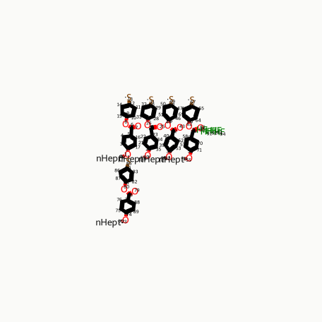 CCCCCCCOc1ccc(C(=O)Oc2ccc([S])cc2)cc1.CCCCCCCOc1ccc(C(=O)Oc2ccc([S])cc2)cc1.CCCCCCCOc1ccc(C(=O)Oc2ccc([S])cc2)cc1.CCCCCCCOc1ccc(C(=O)Oc2ccc([S])cc2)cc1.CCCCCCCOc1ccc(C(=O)Oc2ccc([S])cc2)cc1.F.F.F.F.F